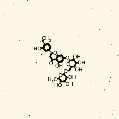 COc1ccc([C@@H]2CC(=O)c3c(O)cc(OC4OC(CO[C@@H]5OC(C)[C@H](O)[C@H](O)C5O)C(O)C(O)C4O)cc3O2)cc1O